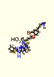 Cc1c(Nc2nc3ccccc3s2)nnc2c1CCCN2c1nc(C(=O)O)c(CCCOc2ccc(C#CCN(C)C)cc2Br)s1